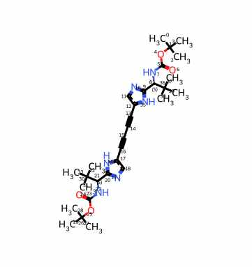 CC(C)(C)OC(=O)N[C@H](c1ncc(C#CC#Cc2cnc([C@@H](NC(=O)OC(C)(C)C)C(C)(C)C)[nH]2)[nH]1)C(C)(C)C